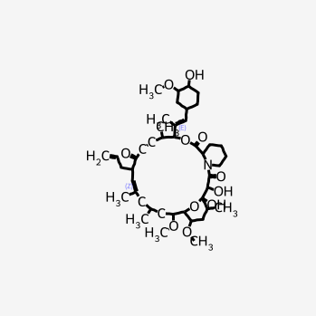 C=CCC1/C=C(/C)CC(C)CC(OC)C2OC(O)(C(C)CC2OC)C(O)C(=O)N2CCCCC2C(=O)OC(/C(C)=C/C2CCC(O)C(OC)C2)C(C)CCC1=O